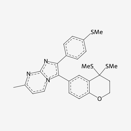 CSc1ccc(-c2nc3nc(C)ccn3c2-c2ccc3c(c2)C(SC)(SC)CCO3)cc1